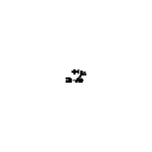 CC[As]CC.[HH]